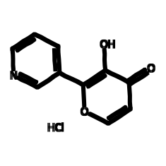 Cl.O=c1ccoc(-c2cccnc2)c1O